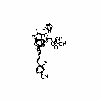 C[C@@H](S[C@H]1CO[C@H](/C=C/C=C/c2ccc(C#N)cc2F)OC1)[C@@](Cn1cncn1)(OC(=O)COP(=O)(O)O)c1ccc(F)cc1F